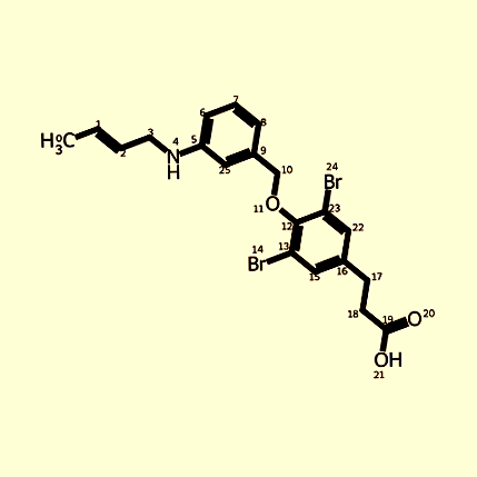 C/C=C/CNc1cccc(COc2c(Br)cc(CCC(=O)O)cc2Br)c1